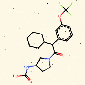 O=C(O)N[C@@H]1CCN(C(=O)C(c2cccc(OC(F)(F)F)c2)C2CCCCC2)C1